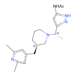 CC(=O)Nc1cc([C@H](C)N2CCC[C@H](Cc3cc(C)nc(C)c3)C2)n[nH]1